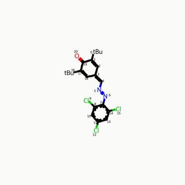 CC(C)(C)C1=CC(=CN=Nc2c(Cl)cc(Cl)cc2Cl)C=C(C(C)(C)C)C1=O